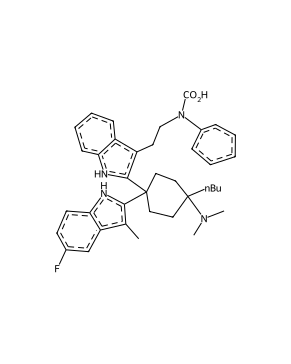 CCCCC1(N(C)C)CCC(c2[nH]c3ccc(F)cc3c2C)(c2[nH]c3ccccc3c2CCN(C(=O)O)c2ccccc2)CC1